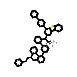 CCC(c1cc(-c2ccc(-c3ccccc3)cc2)c2sc3ccccc3c2c1)c1ccccc1-c1cc(-c2cccc3c2-c2ccccc2C(CCc2ccccc2)C3)ccc1C